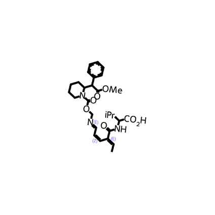 C\C=C(/C=C\C=N\COC(=O)N1CCCCC1C(C(=O)OC)c1ccccc1)C(=O)NC(C(=O)O)C(C)C